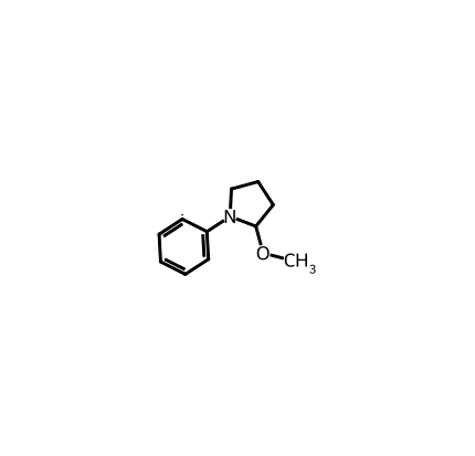 COC1CCCN1c1[c]cccc1